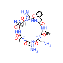 CC(C)CC1NC(=O)C(Cc2ccccc2)NC(=O)C(CCN)NC(=O)C(N)CCNC(=O)C(C(C)O)NC(=O)C(CCN)NC(=O)C(CCN)NC1=O.O=S(=O)(O)O